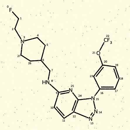 FCCN1CCC(CNc2ccc3nnn(-c4cccc(OC(F)(F)F)c4)c3n2)CC1